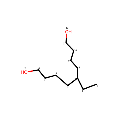 CCC(CCCCO)CCCCO